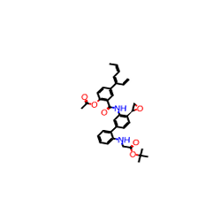 C=C/C(=C\C=C/C)c1ccc(OC(C)=O)c(C(=O)Nc2cc(-c3ccccc3NCC(=O)OC(C)(C)C)ccc2[C@H]2CO2)c1